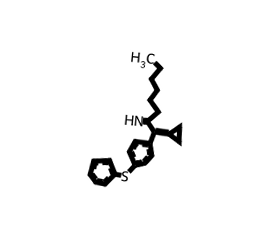 CCCCCCC(=N)C(=C1CC1)c1ccc(Sc2ccccc2)cc1